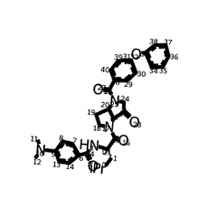 CC(C)C[C@H](NC(=O)c1ccc(N(C)C)cc1)C(=O)N1CCC2C1C(=O)CN2C(=O)c1ccc(Oc2ccccc2)cc1